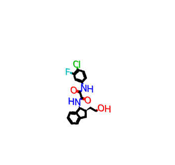 O=C(Nc1ccc(Cl)c(F)c1)C(=O)N[C@H]1c2ccccc2C[C@@H]1CCO